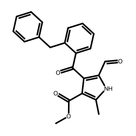 COC(=O)c1c(C)[nH]c(C=O)c1C(=O)c1ccccc1Cc1ccccc1